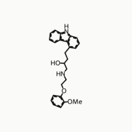 COc1ccccc1OCCNCC(O)CCc1cccc2[nH]c3ccccc3c12